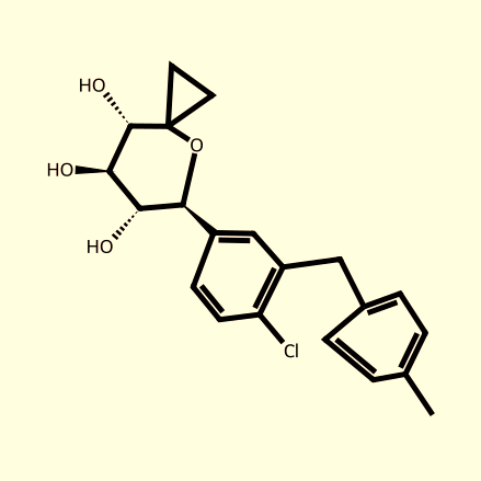 Cc1ccc(Cc2cc([C@@H]3OC4(CC4)[C@@H](O)[C@H](O)[C@H]3O)ccc2Cl)cc1